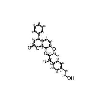 CC(Oc1ccc2c(-c3ccccc3)cc(=O)oc2c1)C(=O)N(C)c1ccc(CCO)cc1